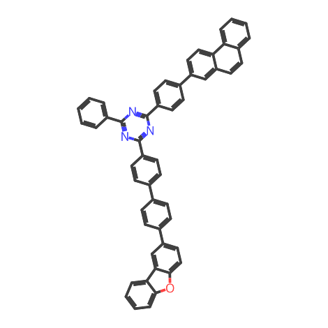 c1ccc(-c2nc(-c3ccc(-c4ccc(-c5ccc6oc7ccccc7c6c5)cc4)cc3)nc(-c3ccc(-c4ccc5c(ccc6ccccc65)c4)cc3)n2)cc1